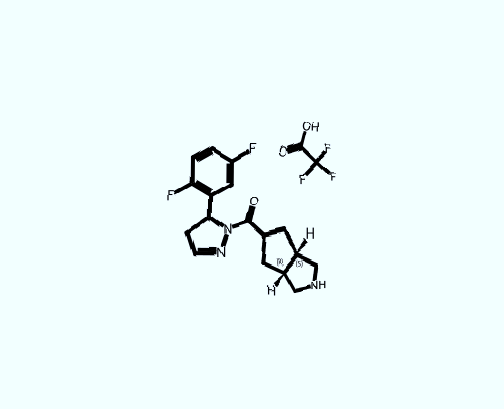 O=C(C1C[C@H]2CNC[C@H]2C1)N1N=CCC1c1cc(F)ccc1F.O=C(O)C(F)(F)F